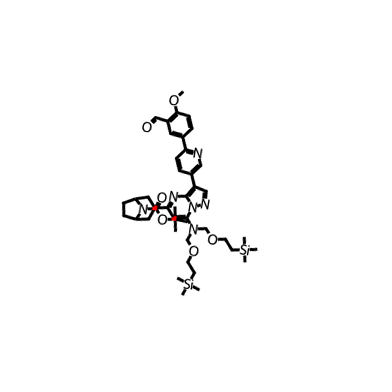 COc1ccc(-c2ccc(-c3cnn4c(N(COCC[Si](C)(C)C)COCC[Si](C)(C)C)cc(C5CC6CCC(C5)N6C(=O)OC(C)(C)C)nc34)cn2)cc1C=O